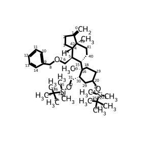 C=C1CC[C@H]2[C@H](COCc3ccccc3)[C@@H]([C@@]3(C)CCC(O[Si](C)(C)C(C)(C)C)C[C@@H]3CO[Si](C)(C)C(C)(C)C)CC[C@]12C